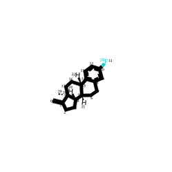 C=C1CC[C@H]2[C@@H]3CCc4cc([18F])ccc4[C@H]3CC[C@]12C